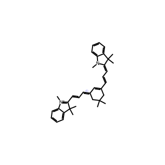 CN1C(=CC=CC2=C/C(=C/C=CC3=[N+](C)c4ccccc4C3(C)C)CC(C)(C)C2)C(C)(C)c2ccccc21